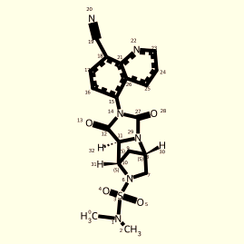 CN(C)S(=O)(=O)N1C[C@@H]2C[C@H]1[C@H]1C(=O)N(c3ccc(C#N)c4ncccc34)C(=O)N21